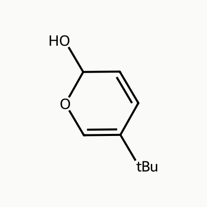 CC(C)(C)C1=COC(O)C=C1